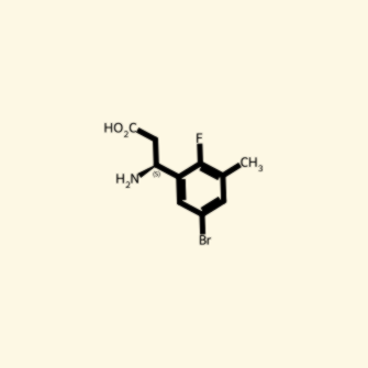 Cc1cc(Br)cc([C@@H](N)CC(=O)O)c1F